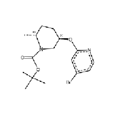 C[C@@H]1CC[C@@H](Oc2cc(Br)ccn2)CN1C(=O)OC(C)(C)C